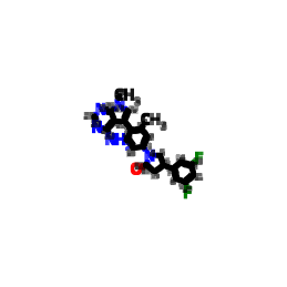 Cc1cc(N2CC(c3cc(F)cc(F)c3)CC2=O)ccc1-c1cn(C)c2ncnc(N)c12